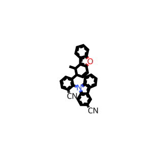 CC1c2c(oc3ccccc23)C=CC1c1cccc(C#N)c1-n1c2ccccc2c2cc(C#N)ccc21